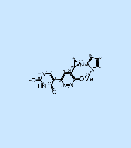 COc1nnc(-c2c[nH]c(=O)[nH]c2=O)cc1C1C[C@@H]1c1cccn1C